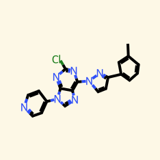 Cc1cccc(-c2ccn(-c3nc(Cl)nc4c3ncn4-c3ccncc3)n2)c1